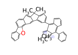 C/C=c1/c(-c2ccccc2)c2ccccc2c(-c2ccc3c(c2)-c2cc4c(ccc5c6ccccc6oc45)cc2C3(C)C)/c1=C/C